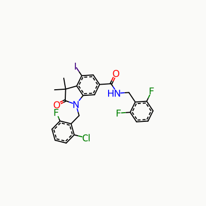 CC1(C)C(=O)N(Cc2c(F)cccc2Cl)c2cc(C(=O)NCc3c(F)cccc3F)cc(I)c21